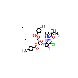 Cc1ccc(C(=O)OC[C@H]2O[C@H](n3cc(I)c4c(Cl)nc(NC(=O)C(C)(C)C)nc43)C[C@@H]2OC(=O)c2ccc(C)cc2)cc1